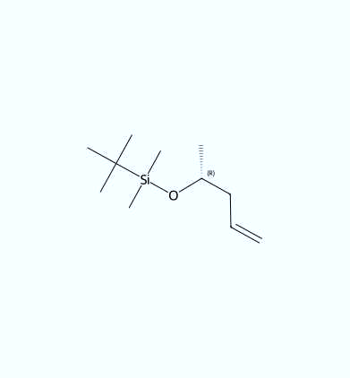 C=CC[C@@H](C)O[Si](C)(C)C(C)(C)C